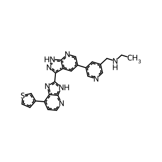 CCNCc1cncc(-c2cnc3[nH]nc(-c4nc5c(-c6ccsc6)ccnc5[nH]4)c3c2)c1